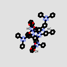 N#Cc1cccc(-c2ccc(-c3nc(-c4ccc(-c5ccccc5C#N)cc4-n4c5ccc(-c6nc(-c7ccccc7)nc(-c7ccccc7)n6)cc5c5cc(-c6nc(-c7ccccc7)nc(-c7ccccc7)n6)ccc54)nc(-c4ccc(-c5ccccc5C#N)cc4-n4c5ccc(-c6nc(-c7ccccc7)nc(-c7ccccc7)n6)cc5c5cc(-c6nc(-c7ccccc7)nc(-c7ccccc7)n6)ccc54)n3)cc2)c1